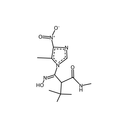 CNC(=O)C(C(=NO)n1cnc([N+](=O)[O-])c1C)C(C)(C)C